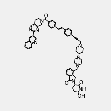 O=C1NC(O)CCC1N1Cc2c(CN3CCN(C4CCN(CC#Cc5ccc(/C=C/c6ccc(C(=O)N7CCc8cnc(-c9cnc%10ccccc%10c9)nc8C7)cc6)cc5)CC4)CC3)cccc2C1=O